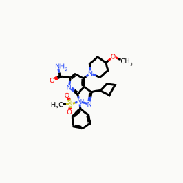 COC1CCN(c2cc(C(N)=O)nc3c2C(C2CCC2)=N[N+]3(c2ccccc2)S(C)(=O)=O)CC1